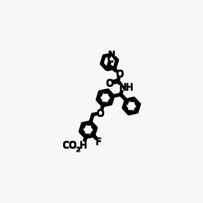 O=C(NC(c1ccccc1)c1cccc(OCc2ccc(C(=O)O)c(F)c2)c1)OC1CN2CCC1CC2